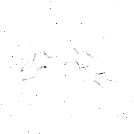 Cn1cc(-n2ccc(=O)c(COc3ccc4ncc(O)cc4c3)n2)cn1